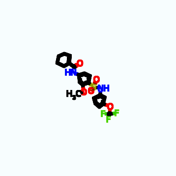 COc1cc(NC(=O)C2=CCCCC2)ccc1S(=O)(=O)Nc1cccc(OC(F)(F)F)c1